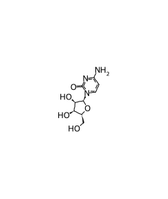 Nc1ccn([C@H]2O[C@@H](CO)[C@@H](O)[C@H]2O)c(=O)n1